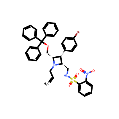 C=CCN1[C@H](COC(c2ccccc2)(c2ccccc2)c2ccccc2)[C@H](c2ccc(Br)cc2)[C@@H]1CNS(=O)(=O)c1ccccc1[N+](=O)[O-]